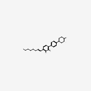 CCCCCC/C=C/c1ccc(-c2ccc(C3CCC(F)CC3)cc2)c(F)c1F